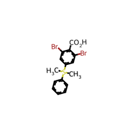 CS(C)(c1ccccc1)c1cc(Br)c(C(=O)O)c(Br)c1